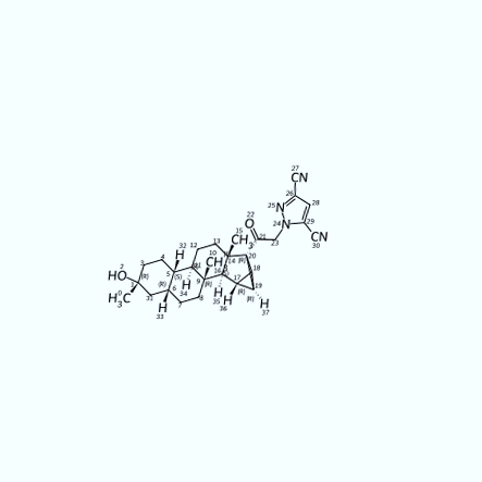 C[C@@]1(O)CC[C@H]2[C@H](CC[C@]3(C)[C@@H]2CC[C@@]2(C)[C@H]3[C@@H]3C4[C@@H]3[C@]42C(=O)Cn2nc(C#N)cc2C#N)C1